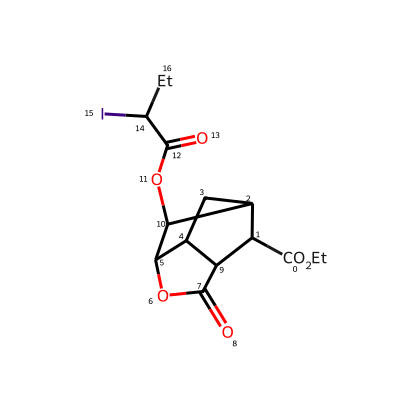 CCOC(=O)C1C2CC3C(OC(=O)C31)C2OC(=O)C(I)CC